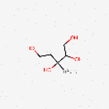 CCCCCC(O)(CCO)C(O)CO